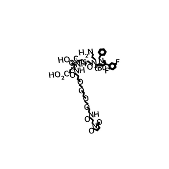 CC(C)(C)[C@H](c1cc(-c2cc(F)ccc2F)cn1Cc1ccccc1)N(CCCN)C(=O)CSC[C@H](NC(=O)[C@H](CCC(=O)O)NC(=O)CCOCCOCCOCCOCCNC(=O)CCN1C(=O)C=CC1=O)C(=O)O